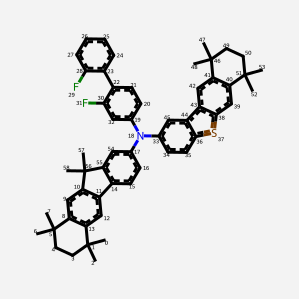 CC1(C)CCC(C)(C)c2cc3c(cc21)-c1ccc(N(c2ccc(-c4ccccc4F)c(F)c2)c2ccc4sc5cc6c(cc5c4c2)C(C)(C)CCC6(C)C)cc1C3(C)C